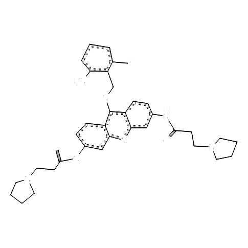 Nc1cccc(F)c1CNc1c2ccc(NC(=O)CCN3CCCC3)cc2nc2cc(NC(=O)CCN3CCCC3)ccc12